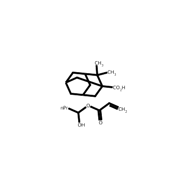 C=CC(=O)OC(O)CCC.CC1(C)C2CC3CC(C2)CC1(C(=O)O)C3